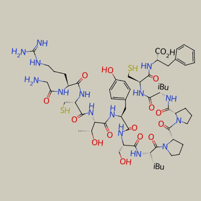 CC[C@H](C)[C@H](NC(=O)[C@@H]1CCCN1C(=O)[C@@H]1CCCN1C(=O)[C@@H](NC(=O)[C@H](CO)NC(=O)[C@H](Cc1ccc(O)cc1)NC(=O)[C@@H](NC(=O)[C@H](CS)NC(=O)[C@H](CCCNC(=N)N)NC(=O)CN)[C@@H](C)O)[C@@H](C)CC)C(=O)N[C@@H](CS)C(=O)N[C@@H](Cc1ccccc1)C(=O)O